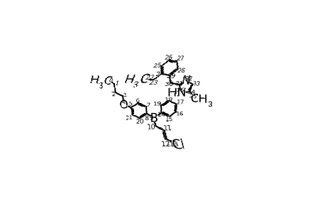 CCCCOc1ccc(B(CC=CCl)c2ccccc2)cc1.CCc1ccccc1Cc1ncc(C)[nH]1